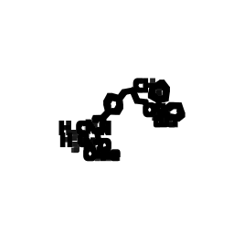 CON(C)C(=O)c1nc(-c2ccc(C[C@H](C)CCO[Si](c3ccccc3)(c3ccccc3)C(C)(C)C)cc2)cn1C